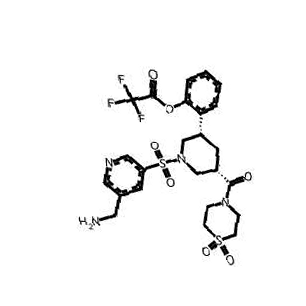 NCc1cncc(S(=O)(=O)N2C[C@@H](C(=O)N3CCS(=O)(=O)CC3)C[C@@H](c3ccccc3OC(=O)C(F)(F)F)C2)c1